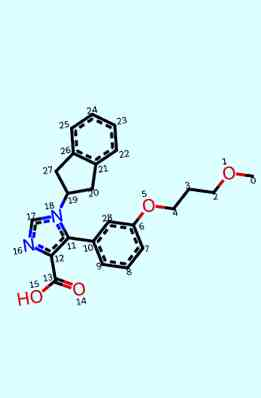 COCCCOc1cccc(-c2c(C(=O)O)ncn2C2Cc3ccccc3C2)c1